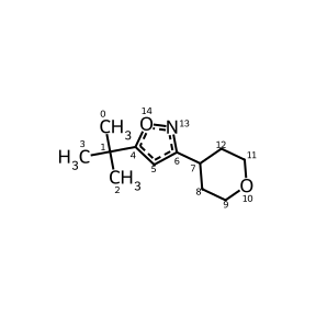 CC(C)(C)c1cc(C2CCOCC2)no1